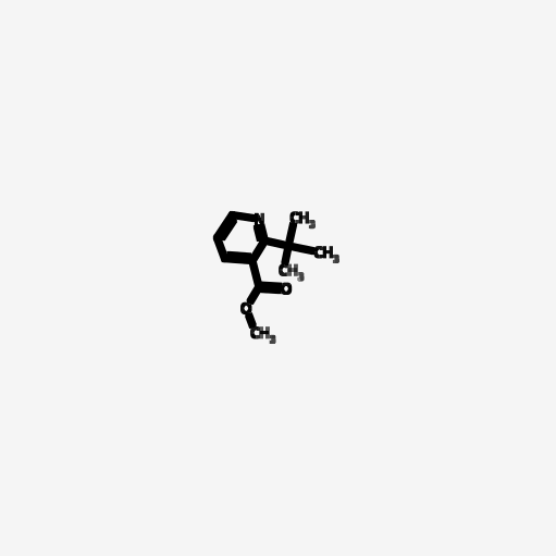 COC(=O)c1cccnc1C(C)(C)C